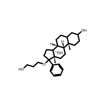 C[C@]12CCC(O)CC1CC[C@@H]1[C@H]2CC[C@]2(C)C(OCCCO)(c3ccccc3)CC[C@@]12O